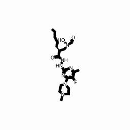 CCCCC[C@@H](CN(O)C=O)C(=O)NNc1nc(C)c(F)c(N2CCN(C)CC2)n1